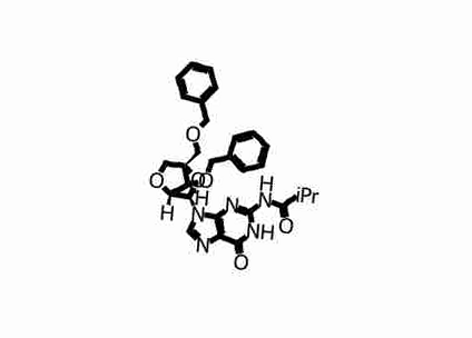 CC(C)C(=O)Nc1nc2c(ncn2[C@@H]2O[C@@]3(COCc4ccccc4)CO[C@@H]2[C@@H]3OCc2ccccc2)c(=O)[nH]1